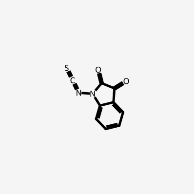 O=C1C(=O)N(N=C=S)c2ccccc21